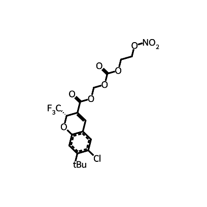 CC(C)(C)c1cc2c(cc1Cl)C=C(C(=O)OCOC(=O)OCCO[N+](=O)[O-])[C@@H](C(F)(F)F)O2